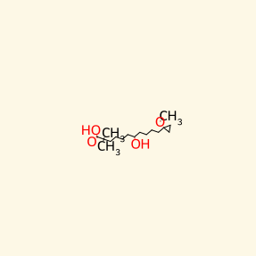 COC1(CCCCC(O)CCCCC(C)(C)C(=O)O)CC1